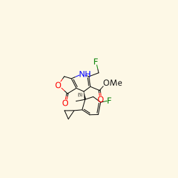 COC(=O)C1=C(CF)NC2=C(C(=O)OC2)[C@@H]1C1(C)CC(F)=CC=C1C1CC1